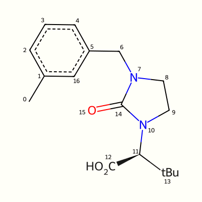 Cc1cccc(CN2CCN([C@H](C(=O)O)C(C)(C)C)C2=O)c1